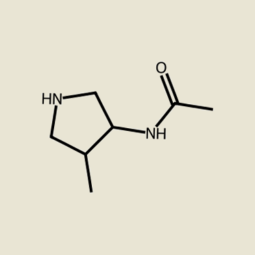 CC(=O)NC1CNCC1C